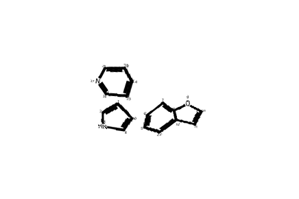 c1cc[nH]c1.c1ccc2occc2c1.c1ccncc1